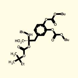 CCC(C)N[C@@](Cc1ccc(OC(=O)OC(C)CC)c(OC(=O)OC(C)CC)c1)(OC(=O)OC(C)(C)CC)C(=O)O